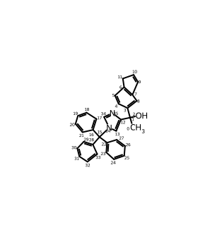 CC(O)(c1ccc2c(c1)C=CC2)c1cn(C(c2ccccc2)(c2ccccc2)c2ccccc2)cn1